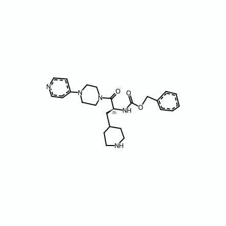 O=C(N[C@@H](CC1CCNCC1)C(=O)N1CCN(c2ccncc2)CC1)OCc1ccccc1